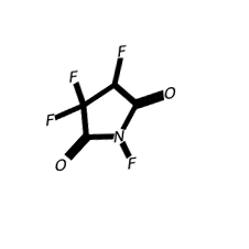 O=C1C(F)C(F)(F)C(=O)N1F